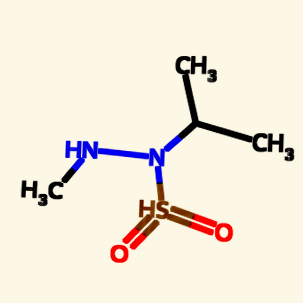 CNN(C(C)C)[SH](=O)=O